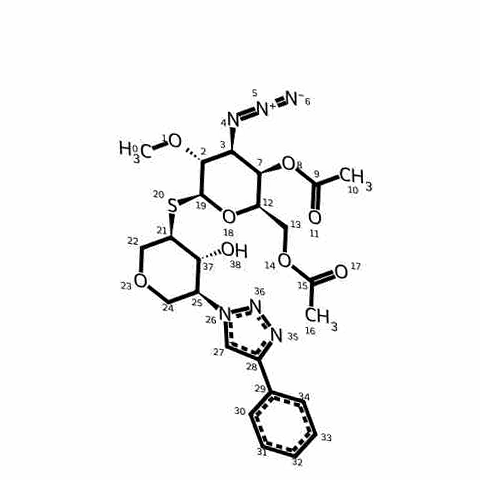 CO[C@@H]1[C@@H](N=[N+]=[N-])[C@@H](OC(C)=O)[C@@H](COC(C)=O)O[C@H]1S[C@@H]1COC[C@H](n2cc(-c3ccccc3)nn2)[C@H]1O